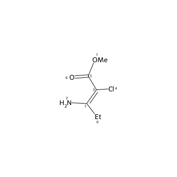 CCC(N)=C(Cl)C(=O)OC